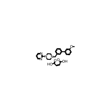 COc1cccc(-c2cccc(CN3CCN(c4ncccn4)CC3)c2)c1.O=C(O)/C=C\C(=O)O